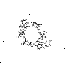 CC(C)C[C@H]1C(=O)O[C@H](Cc2ccc(CN3CC[S+]([O-])CC3)cc2)C(=O)N(C)[C@@H](CC(C)C)C(=O)O[C@H](C)C(=O)N(C)[C@@H](CC(C)C)C(=O)O[C@H](Cc2ccccc2)C(=O)N(C)[C@@H](CC(C)C)C(=O)O[C@H](C)C(=O)N1C